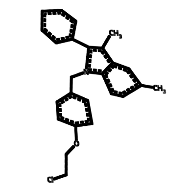 Cc1ccc2c(c1)c(C)c(-c1ccccc1)n2Cc1ccc(OCCCl)cc1